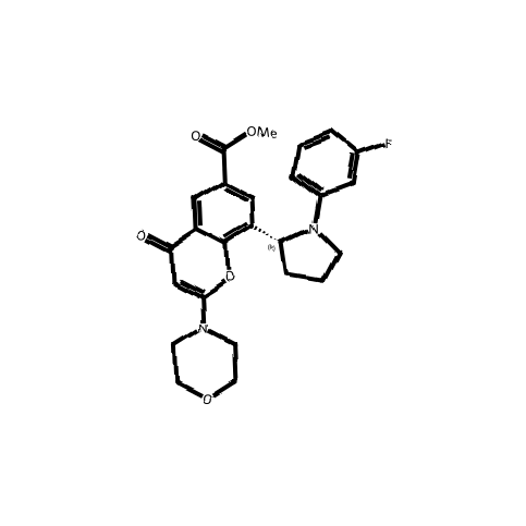 COC(=O)c1cc([C@H]2CCCN2c2cccc(F)c2)c2oc(N3CCOCC3)cc(=O)c2c1